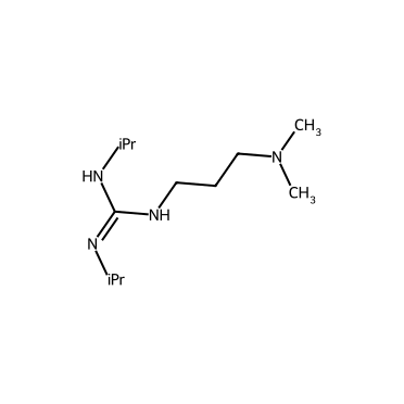 CC(C)/N=C(\NCCCN(C)C)NC(C)C